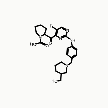 O=C(c1nc(Nc2ccc(CN3CCCC(CO)C3)cc2)ncc1F)C1CCCCN1C(=O)O